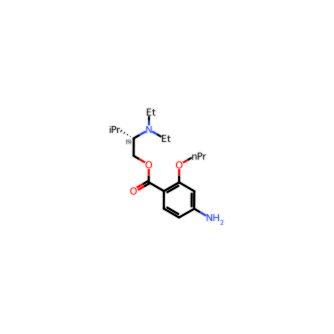 CCCOc1cc(N)ccc1C(=O)OC[C@H](C(C)C)N(CC)CC